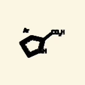 O=C(O)c1ccc[nH]1.[Ar]